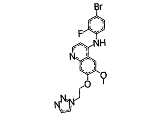 COc1cc2c(Nc3ccc(Br)cc3F)ccnc2cc1OCCn1ccnn1